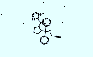 C#CCOC(c1ccccc1)(c1ccccc1)C1CCCN1C(=O)c1nccn1C